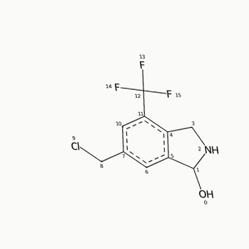 OC1NCc2c1cc(CCl)cc2C(F)(F)F